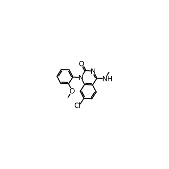 CNc1nc(=O)n(-c2ccccc2OC)c2cc(Cl)ccc12